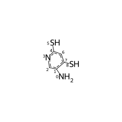 Nc1cnc(S)cc1S